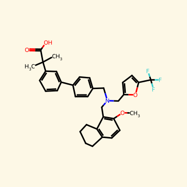 COc1ccc2c(c1CN(Cc1ccc(-c3cccc(C(C)(C)C(=O)O)c3)cc1)Cc1ccc(C(F)(F)F)o1)CCCC2